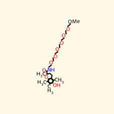 COCCOCCOCCOCCOCCOCCOCCNC(=O)[C@@]1(C)CCc2c(C)c(O)c(C)c(C)c2O1